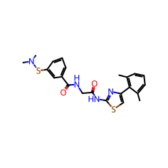 Cc1cccc(C)c1-c1csc(NC(=O)CNC(=O)c2cccc(SN(C)C)c2)n1